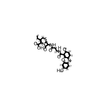 CCC1=C(C(=O)O)N2C(=O)C(NC(=O)CCNC(=O)c3c4oc5cc(O)ccc5nc-4ccc3=O)C2SC1